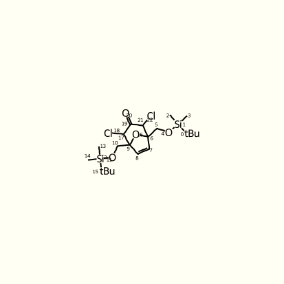 CC(C)(C)[Si](C)(C)OCC12C=CC(CO[Si](C)(C)C(C)(C)C)(O1)C(Cl)C(=O)C2Cl